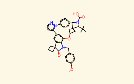 COc1ccc(CN2C(=O)C3(CCC3)c3cc(-c4ccnn4-c4ccccc4)cc(OC4CC5(C4)CN(C(=O)O)C5C(C)(C)C)c32)cc1